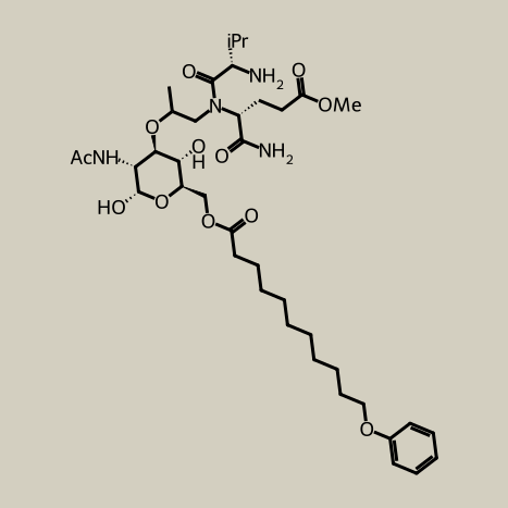 COC(=O)CC[C@H](C(N)=O)N(CC(C)O[C@H]1[C@H](O)[C@@H](COC(=O)CCCCCCCCCCOc2ccccc2)O[C@H](O)[C@@H]1NC(C)=O)C(=O)[C@@H](N)C(C)C